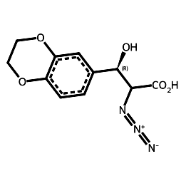 [N-]=[N+]=NC(C(=O)O)[C@H](O)c1ccc2c(c1)OCCO2